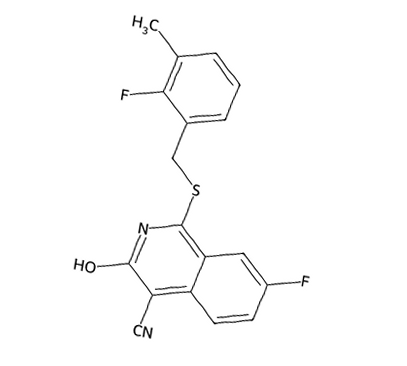 Cc1cccc(CSc2nc(O)c(C#N)c3ccc(F)cc23)c1F